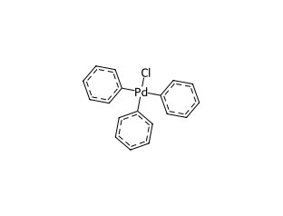 [Cl][Pd]([c]1ccccc1)([c]1ccccc1)[c]1ccccc1